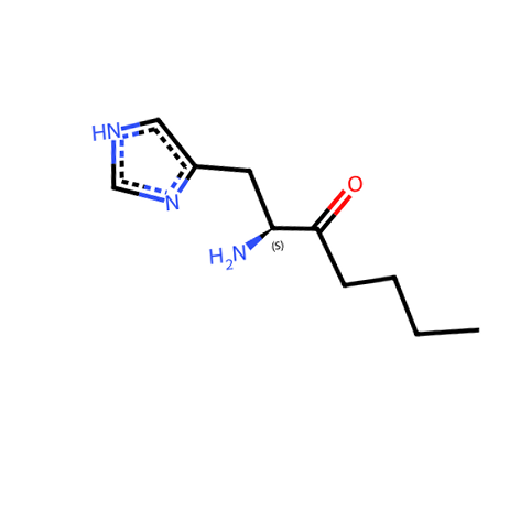 CCCCC(=O)[C@@H](N)Cc1c[nH]cn1